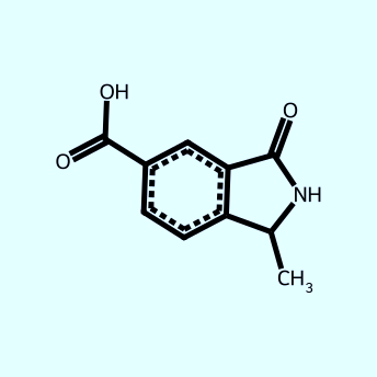 CC1NC(=O)c2cc(C(=O)O)ccc21